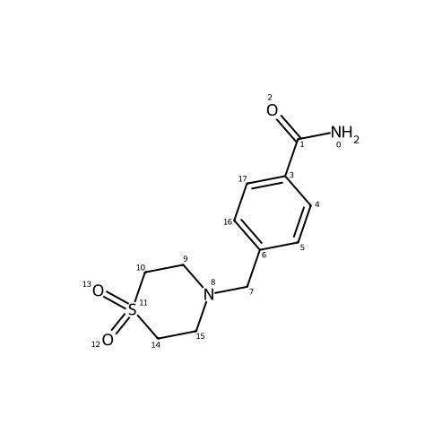 NC(=O)c1ccc(CN2CCS(=O)(=O)CC2)cc1